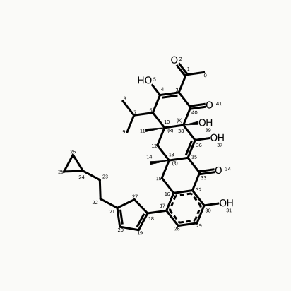 CC(=O)C1=C(O)C(C(C)C)[C@@]2(C)C[C@@]3(C)Cc4c(C5=CC=C(CCC6CC6)C5)ccc(O)c4C(=O)C3=C(O)[C@@]2(O)C1=O